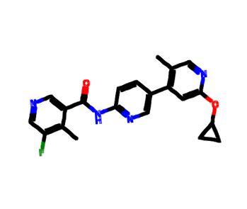 Cc1cnc(OC2CC2)cc1-c1ccc(NC(=O)c2cncc(F)c2C)nc1